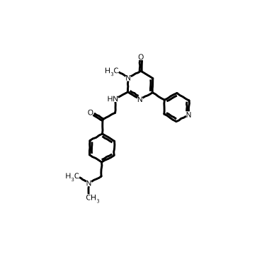 CN(C)Cc1ccc(C(=O)CNc2nc(-c3ccncc3)cc(=O)n2C)cc1